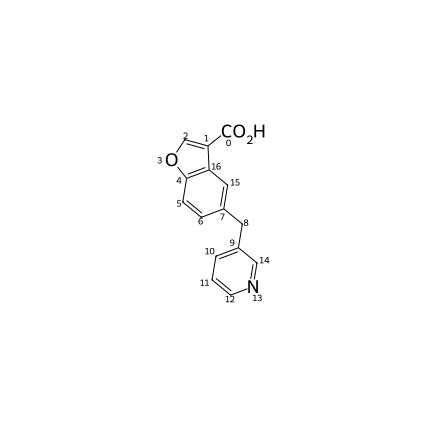 O=C(O)c1coc2ccc(Cc3cccnc3)cc12